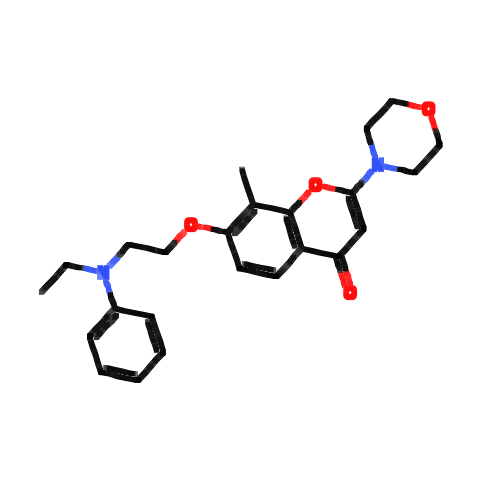 CCN(CCOc1ccc2c(=O)cc(N3CCOCC3)oc2c1C)c1ccccc1